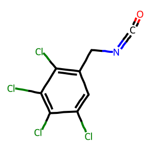 O=C=NCc1cc(Cl)c(Cl)c(Cl)c1Cl